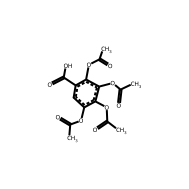 CC(=O)Oc1cc(C(=O)O)c(OC(C)=O)c(OC(C)=O)c1OC(C)=O